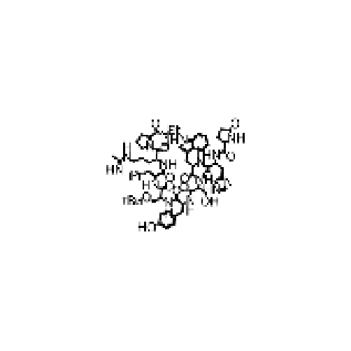 CCNC(=O)C1CCCN1C(=O)C(CCCNC(C)=N)NC(=O)C(CC(C)C)NC(=O)C(COC(C)(C)C)NC(=O)C(Cc1ccc(O)cc1)NC(=O)C(CO)NC(=O)C(Cc1c[nH]c2ccccc12)NC(=O)C(Cc1c[nH]cn1)NC(=O)C1CCC(=O)N1